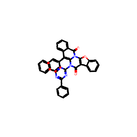 O=c1c2c3ccccc3oc2n2c(=O)c3ccccc3c(-c3ccccc3)c2n1-c1nc(-c2ccccc2)nc(-c2ccccc2)n1